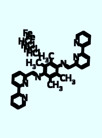 Cc1c(C)c(N=Cc2cccc(-c3ccccn3)n2)c(C)c(C)c1N=Cc1cccc(-c2ccccn2)n1.Cl.Cl.Cl.Cl.[Fe].[Fe]